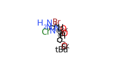 CC1(C)O[C@@H]2[C@H](O1)[C@@H](c1cccc(CO[Si](C)(C)C(C)(C)C)c1)C[C@H]2n1cc(Br)c2c(N)nc(Cl)nc21